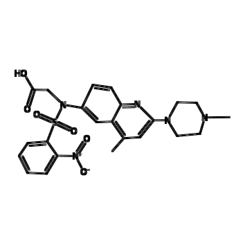 Cc1cc(N2CCN(C)CC2)nc2ccc(N(CC(=O)O)S(=O)(=O)c3ccccc3[N+](=O)[O-])cc12